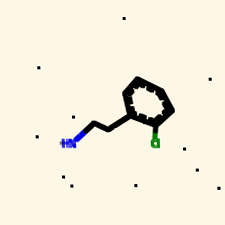 [NH]CCc1ccccc1Cl